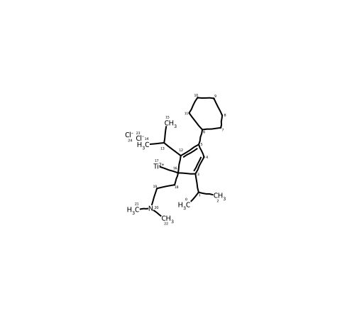 CC(C)C1=CC(C2CCCCC2)=C(C(C)C)[C]1([Ti+2])CCN(C)C.[Cl-].[Cl-]